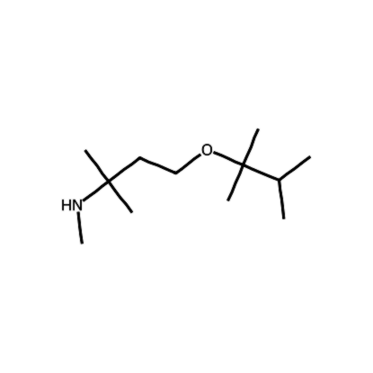 CNC(C)(C)CCOC(C)(C)C(C)C